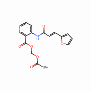 CC(C)(C)C(=O)OCOC(=O)c1ccccc1NC(=O)C=Cc1ccco1